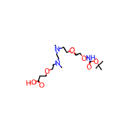 CN(CCOCCONC(=O)OC(C)(C)C)CCN(C)CCOCCC(=O)O